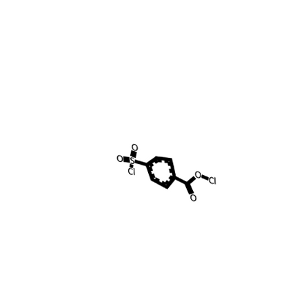 O=C(OCl)c1ccc(S(=O)(=O)Cl)cc1